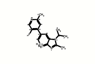 C=c1nc(C)n(C(C)C)/c1=C/C(=C\C)c1cc(C)ncc1F